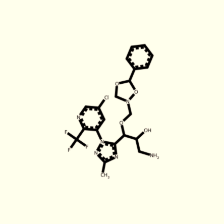 Cc1nc(C(OCN2COC(c3ccccc3)O2)C(O)CN)n(-c2cc(Cl)cnc2C(F)(F)F)n1